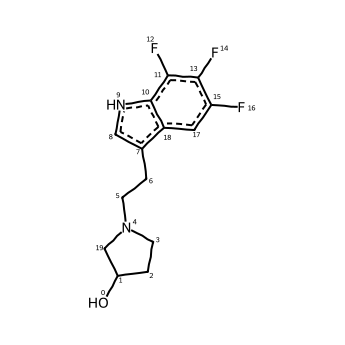 OC1CCN(CCc2c[nH]c3c(F)c(F)c(F)cc23)C1